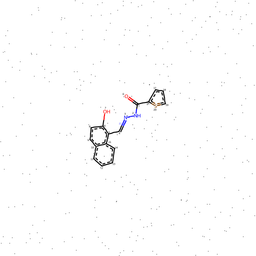 O=C(N/N=C/c1c(O)ccc2ccccc12)c1cccs1